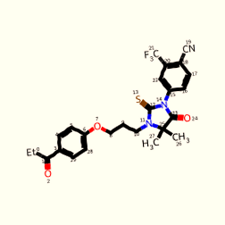 CCC(=O)c1ccc(OCCCN2C(=S)N(c3ccc(C#N)c(C(F)(F)F)c3)C(=O)C2(C)C)cc1